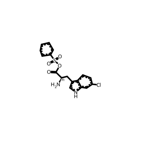 N[C@H](Cc1c[nH]c2cc(Cl)ccc12)C(=O)OS(=O)(=O)c1ccccc1